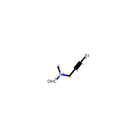 [CH2]CC#CCN(C)C=O